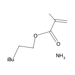 C=C(C)C(=O)OCCC(C)CC.N